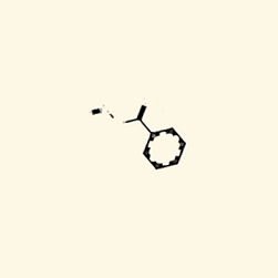 C=C(ON=O)c1ccccc1